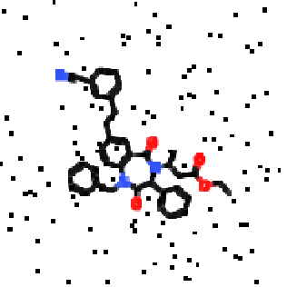 CCOC(=O)CC(C)N1C(=O)c2cc(CCc3cccc(C#N)c3)ccc2N(Cc2ccccc2)C(=O)C1c1ccccc1